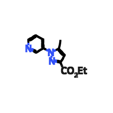 CCOC(=O)c1cc(C)n(-c2cccnc2)n1